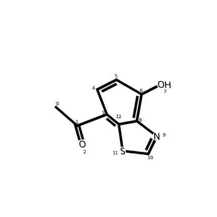 CC(=O)c1ccc(O)c2ncsc12